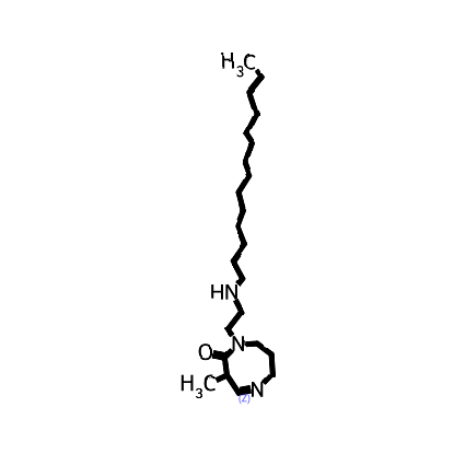 CCCCCCCCCCCCCCNCCN1CCC/N=C\C(C)C1=O